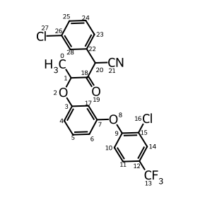 CC(Oc1cccc(Oc2ccc(C(F)(F)F)cc2Cl)c1)C(=O)C(C#N)c1cccc(Cl)c1